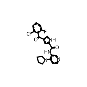 O=C(Nc1cnccc1N1CCCC1)c1cc(C(=O)c2c(F)cccc2Cl)c[nH]1